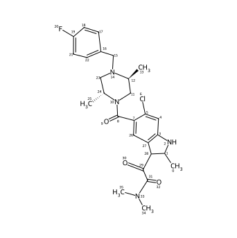 CC1Nc2cc(Cl)c(C(=O)N3C[C@H](C)N(Cc4ccc(F)cc4)C[C@H]3C)cc2C1C(=O)C(=O)N(C)C